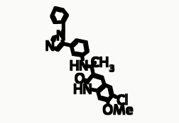 COc1cc2[nH]c(=O)c(C(C)Nc3cccc(-c4cncn4Cc4ccccc4)c3)cc2cc1Cl